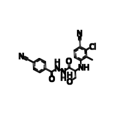 Cc1c(NC(CO)C(=O)NNC(=O)c2ccc(C#N)cc2)ccc(C#N)c1Cl